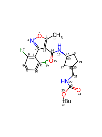 Cc1onc(-c2c(F)cccc2Cl)c1C(=O)N[C@H]1CC[C@@H](CNC(=O)OC(C)(C)C)C1